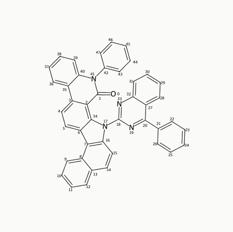 O=c1c2c(ccc3c4c5ccccc5ccc4n(-c4nc(-c5ccccc5)c5ccccc5n4)c32)c2ccccc2n1-c1ccccc1